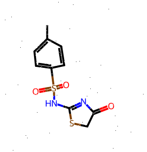 Cc1ccc(S(=O)(=O)NC2=NC(=O)CS2)cc1